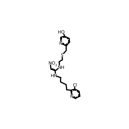 O=[N+]([O-])C=C(NCCCCc1ncccc1Cl)NCCSCc1ccc(O)cn1